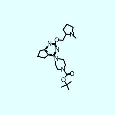 CN1CCCC1COc1nc2c(c(N3CCN(C(=O)OC(C)(C)C)CC3)n1)CCC2